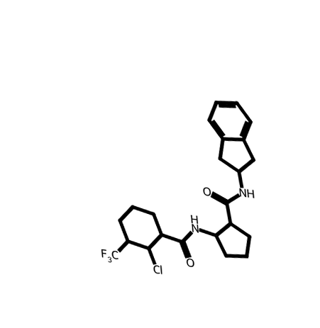 O=C(NC1Cc2ccccc2C1)C1CCCC1NC(=O)C1CCCC(C(F)(F)F)C1Cl